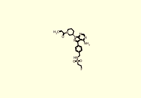 C=CC(=O)N1CCC[C@@H](n2nc(-c3ccc(CNS(=O)(=O)CCF)cc3)c3c(N)ncnc32)C1